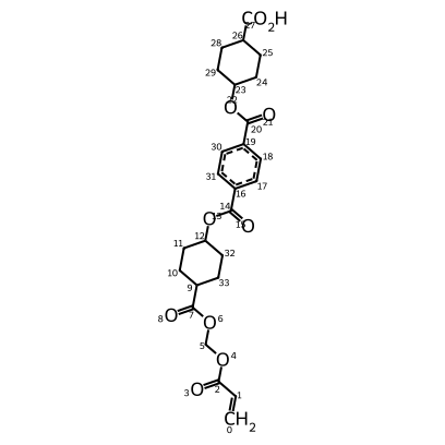 C=CC(=O)OCOC(=O)C1CCC(OC(=O)c2ccc(C(=O)OC3CCC(C(=O)O)CC3)cc2)CC1